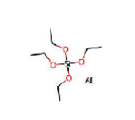 CCO[Si](OCC)(OCC)OCC.[Al]